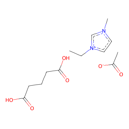 CC(=O)[O-].CC[n+]1ccn(C)c1.O=C(O)CCCC(=O)O